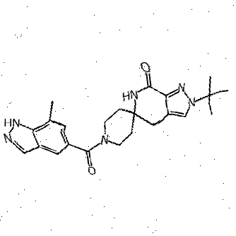 Cc1cc(C(=O)N2CCC3(CC2)Cc2cn(C(C)(C)C)nc2C(=O)N3)cc2cn[nH]c12